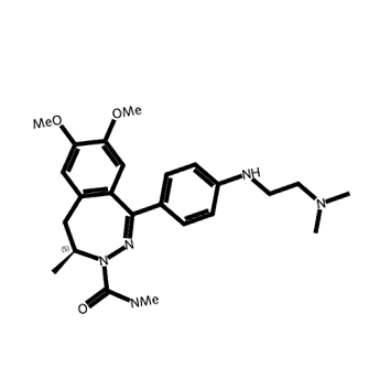 CNC(=O)N1N=C(c2ccc(NCCN(C)C)cc2)c2cc(OC)c(OC)cc2C[C@@H]1C